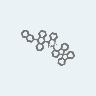 c1ccc2c(c1)-c1ccccc1C21c2ccccc2-c2c(-c3nc(-c4c5ccccc5c(-c5ccc6ccccc6c5)c5ccccc45)c4ccccc4n3)cccc21